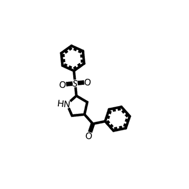 O=C(c1ccccc1)C1CNC(S(=O)(=O)c2ccccc2)C1